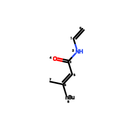 C=CNC(=O)/C=C(\C)CCCC